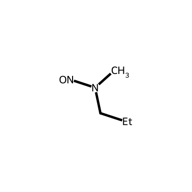 CCCN(C)N=O